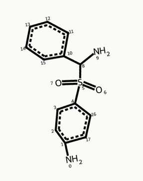 Nc1ccc(S(=O)(=O)C(N)c2ccccc2)cc1